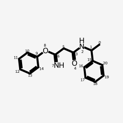 CC(NC(=O)CC(=N)Oc1ccccc1)c1ccccc1